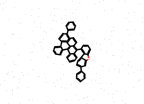 c1ccc(-c2ccc(-c3ccccc3-c3c4ccccc4c(-c4cccc5oc6cc(-c7ccccc7)ccc6c45)c4ccccc34)cc2)cc1